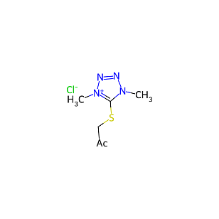 CC(=O)CSc1n(C)nn[n+]1C.[Cl-]